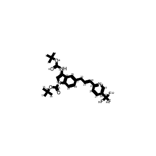 CC(C)(C)OC(=O)Nc1cn(C(=O)OC(C)(C)C)c2ccc(CC=Cc3ccc(C(F)(F)F)cn3)cc12